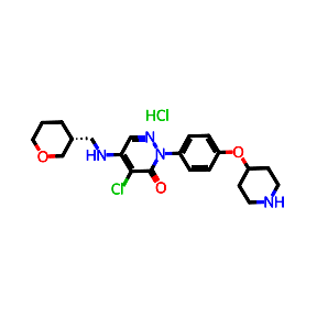 Cl.O=c1c(Cl)c(NC[C@H]2CCCOC2)cnn1-c1ccc(OC2CCNCC2)cc1